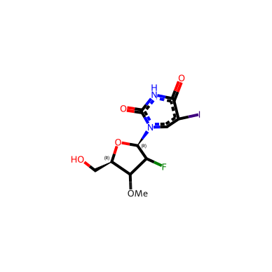 COC1C(F)[C@H](n2cc(I)c(=O)[nH]c2=O)O[C@@H]1CO